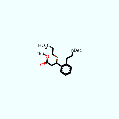 CCCCCCCCCCCCc1ccccc1C(CC(=O)OC(C)(C)C)SCCC(=O)O